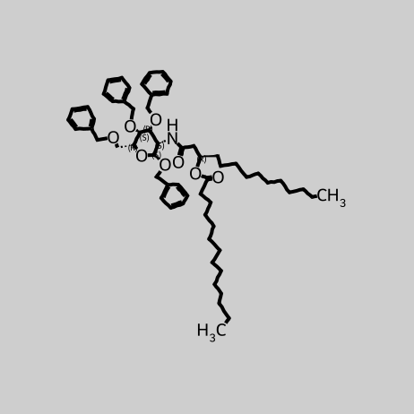 CCCCCCCCCCCCCC(=O)O[C@H](CCCCCCCCCCC)CC(=O)N[C@@H]1[C@@H](OCc2ccccc2)O[C@H](COCc2ccccc2)[C@@H](OCc2ccccc2)[C@@H]1OCc1ccccc1